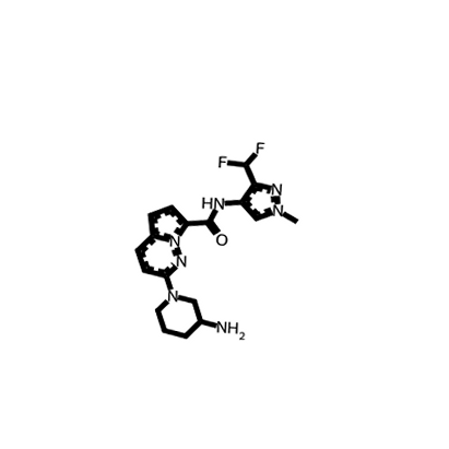 Cn1cc(NC(=O)c2ccc3ccc(N4CCCC(N)C4)nn23)c(C(F)F)n1